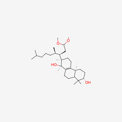 COC(C[C@H]([C@H](C)CCCC(C)C)[C@@]1(C)CCC2=C(CCC3C(C)(C)[C@@H](O)CC[C@]23C)[C@@]1(C)O)OC